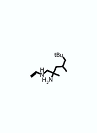 C=CNCC(C)(N)CC(C)CC(C)(C)C